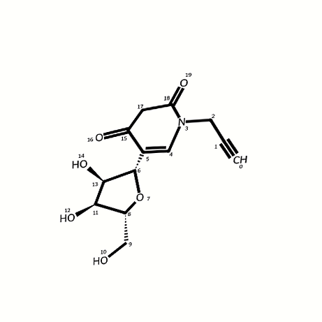 C#CCN1C=C([C@@H]2O[C@H](CO)[C@@H](O)[C@H]2O)C(=O)CC1=O